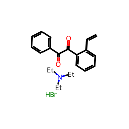 Br.C=Cc1ccccc1C(=O)C(=O)c1ccccc1.CCN(CC)CC